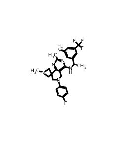 Cc1nc(N[C@H](C)c2cc(N)cc(C(F)(F)F)c2)c2c(n1)C1(CN(C)C1)CN(c1ccc(F)cc1)C2